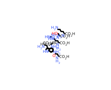 CCC(C)C(N)C(=O)O.N=C(N)NCCCC(N)C(=O)O.NC(=O)CC(N)C(=O)O.NC(CO)C(=O)O.NC(Cc1c[nH]c2ccccc12)C(=O)O.NCCCCC(N)C(=O)O